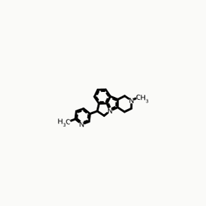 Cc1ccc(C2Cn3c4c(c5cccc2c53)CN(C)CC4)cn1